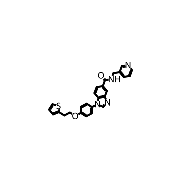 O=C(NCc1cccnc1)c1ccc2c(c1)ncn2-c1ccc(OCCc2cccs2)cc1